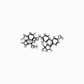 COc1ccc(F)c(-c2ccc(COc3ccc4c(c3)[C@]3(CC4)CC[C@@H]3C(=O)O)cc2[C@@H]2CCCC2(C)C)c1